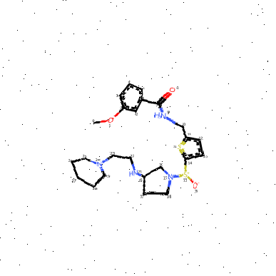 COc1cccc(C(=O)NCc2ccc([S+]([O-])N3CCC(NCCN4CCCCC4)C3)s2)c1